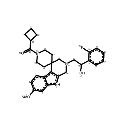 COc1ccc2c3c([nH]c2c1)CN(CC(O)c1ccccc1F)CC31CCN(C(=O)C2CCC2)CC1